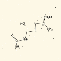 CCOC(=O)[C@@H](N)CCCNC(N)=O.Cl